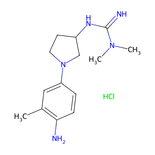 Cc1cc(N2CCC(NC(=N)N(C)C)C2)ccc1N.Cl